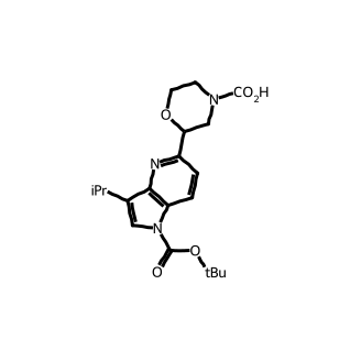 CC(C)c1cn(C(=O)OC(C)(C)C)c2ccc(C3CN(C(=O)O)CCO3)nc12